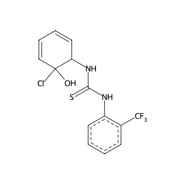 OC1(Cl)C=CC=CC1NC(=S)Nc1ccccc1C(F)(F)F